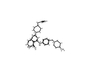 CC1CCN(Cc2ccc(Nc3nc(N4CCC(CC#N)CC4)nc4cn[nH]c(=O)c34)cc2)CC1